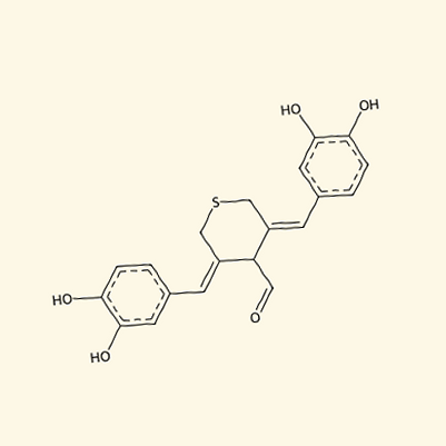 O=CC1C(=Cc2ccc(O)c(O)c2)CSCC1=Cc1ccc(O)c(O)c1